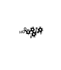 O=C(O)c1cccc(C2=C(c3cc(F)ccc3OCc3c(F)cccc3F)CCC2)n1